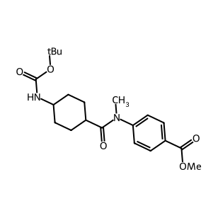 COC(=O)c1ccc(N(C)C(=O)C2CCC(NC(=O)OC(C)(C)C)CC2)cc1